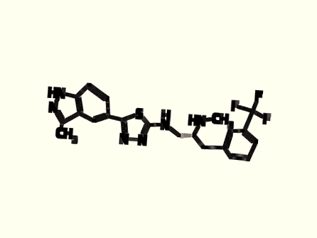 CN[C@@H](CNc1nnc(-c2ccc3[nH]nc(C)c3c2)s1)Cc1cccc(C(F)(F)F)c1